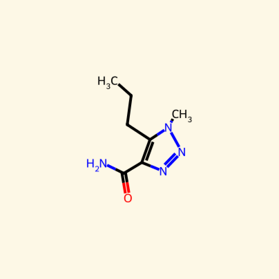 CCCc1c(C(N)=O)nnn1C